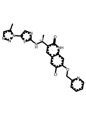 Cc1cnnn1-c1cnc(N[C@@H](C)c2cc3cc(Cl)c(OCc4ccccn4)cc3[nH]c2=O)s1